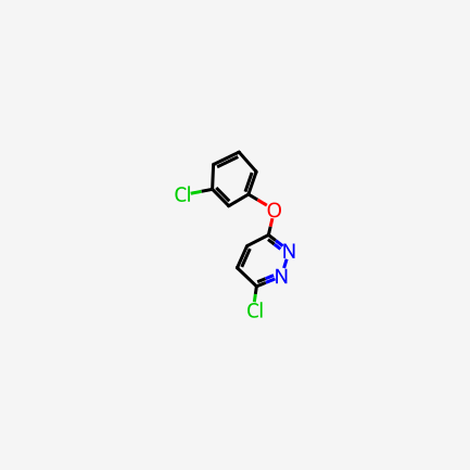 Clc1cccc(Oc2ccc(Cl)nn2)c1